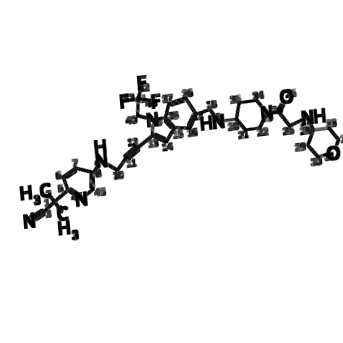 CC(C)(C#N)c1ccc(NCC#Cc2cc3cc(CNC4CCN(C(=O)CNC5CCOCC5)CC4)ccc3n2CC(F)(F)F)cn1